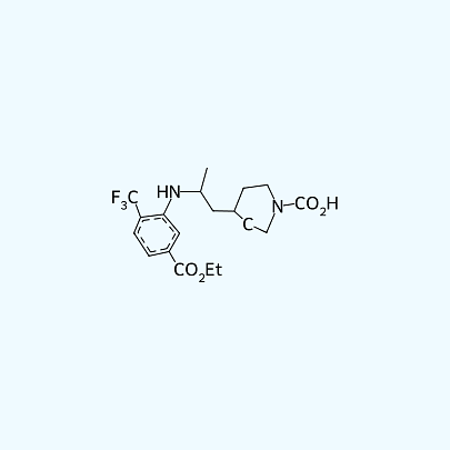 CCOC(=O)c1ccc(C(F)(F)F)c(NC(C)CC2CCN(C(=O)O)CC2)c1